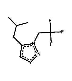 CC(C)Cc1c[c]nn1CC(F)(F)F